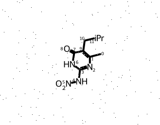 Cc1nc(N[N+](=O)[O-])[nH]c(=O)c1CC(C)C